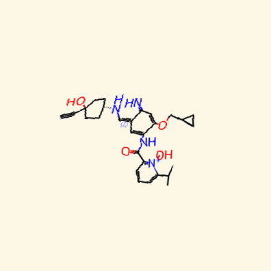 C#C[C@]1(O)CC[C@H](N/C=C2/C=C(NC(=O)c3cccc(C(C)C)[n+]3O)C(OCC3CC3)=CC2=N)CC1